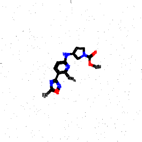 CCCCOC(=O)N1CC[C@H](Nc2ccc(-c3noc(C(F)(F)F)n3)c(C)n2)C1